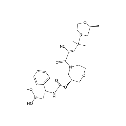 C[C@H]1CN(C(C)(C)C=C(C#N)C(=O)N2CCCC[C@@H](OC(=O)N[C@H](CB(O)O)c3ccccc3)C2)CCO1